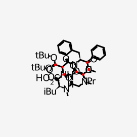 CC[C@H](C)[C@@H](C(=O)N[C@@H](COC(C)(C)C)C(=O)N(C)[C@@H](Cc1ccccc1)C(=O)N(C)[C@H](C(=O)N[C@@H](CC(=O)OC(C)(C)C)C(=O)O)C(C)C)N(C)C(=O)CN(C)C(=O)OCc1ccccc1